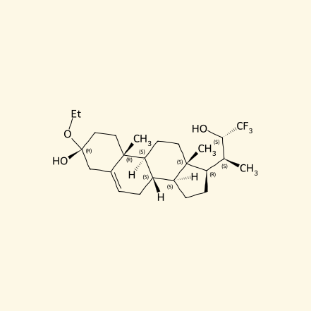 CCO[C@]1(O)CC[C@@]2(C)C(=CC[C@H]3[C@@H]4CC[C@H]([C@H](C)[C@H](O)C(F)(F)F)[C@@]4(C)CC[C@@H]32)C1